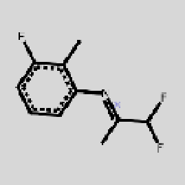 C/C(=N\c1cccc(F)c1C)C(F)F